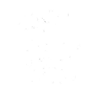 CC(C)C[C@H](N)c1ccccc1N1CCCCC1.Cc1ccc(C(=O)O[C@@](C(=O)O)(C(=O)c2ccc(C)cc2)[C@H](O)C(=O)O)cc1